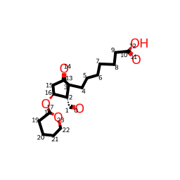 O=C[C@H]1C(CCCCCCC(=O)O)C(=O)C[C@@H]1OC1CCCCO1